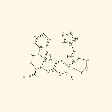 C=C[C@H]1CC[C@H](c2ccccc2)S(=O)(=O)N1Cc1cc(F)c(C2(NCc3nnc[nH]3)CCOCC2)cc1F